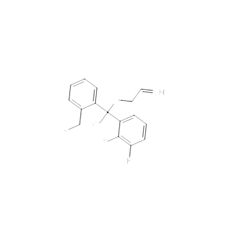 C=CCOC(Cl)(c1ccccc1CF)c1cccc(F)c1F